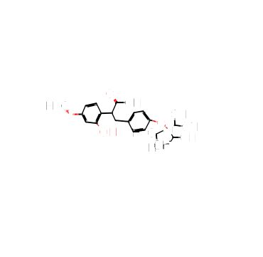 COc1ccc(C(Cc2ccc(O[Si](C(C)C)(C(C)C)C(C)C)cc2)C(C)=O)c(O)c1